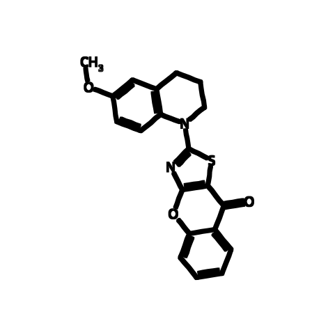 COc1ccc2c(c1)CCCN2c1nc2oc3ccccc3c(=O)c2s1